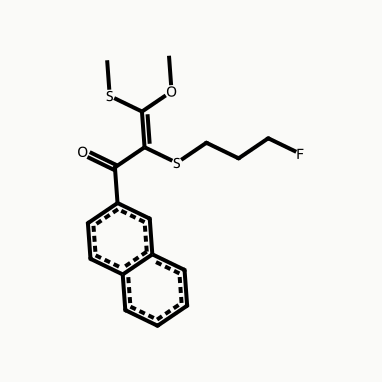 CO/C(SC)=C(\SCCCF)C(=O)c1ccc2ccccc2c1